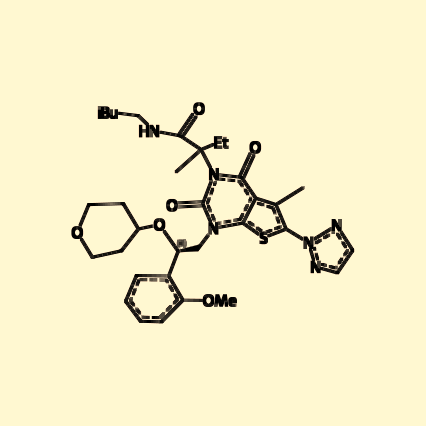 CCC(C)CNC(=O)C(C)(CC)n1c(=O)c2c(C)c(-n3nccn3)sc2n(C[C@H](OC2CCOCC2)c2ccccc2OC)c1=O